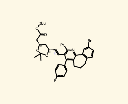 CC(C)c1nc2c(c(-c3ccc(F)cc3)c1/C=C/[C@@H]1C[C@H](CC(=O)OC(C)(C)C)OC(C)(C)O1)CCCc1ccc(Br)cc1-2